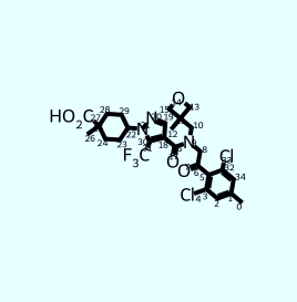 Cc1cc(Cl)c(C(=O)CN(CC2(C)COC2)C(=O)c2cnn(C3CCC(C)(C(=O)O)CC3)c2C(F)(F)F)c(Cl)c1